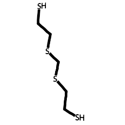 SCCSCSCCS